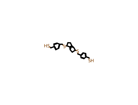 SCc1ccc(CSC2CC3CC2C2CCC(SCc4ccc(CS)cc4)C32)cc1